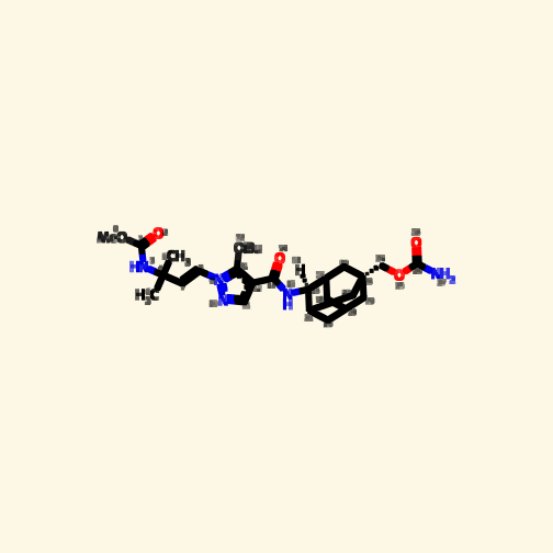 COC(=O)NC(C)(C)/C=C/n1ncc(C(=O)N[C@H]2C3CC4CC2C[C@](COC(N)=O)(C4)C3)c1OCC(C)C